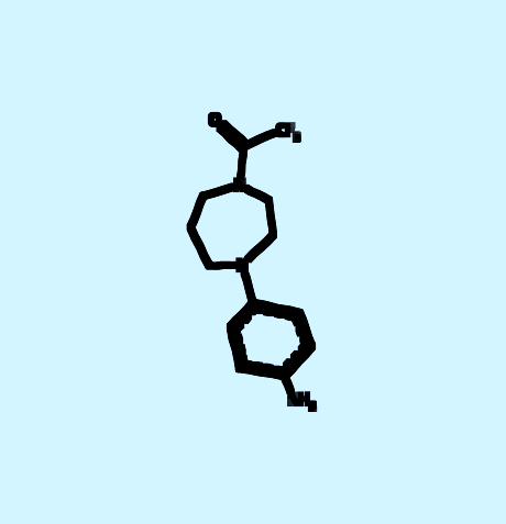 Nc1ccc(N2CCCN(C(=O)C(F)(F)F)CC2)cc1